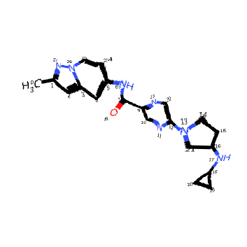 Cc1cc2cc(NC(=O)c3cnc(N4CCC(NC5CC5)C4)cn3)ccn2n1